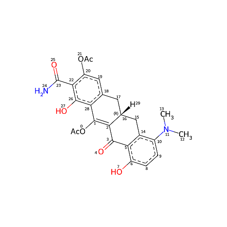 CC(=O)OC1=C2C(=O)c3c(O)ccc(N(C)C)c3C[C@H]2Cc2cc(OC(C)=O)c(C(N)=O)c(O)c21